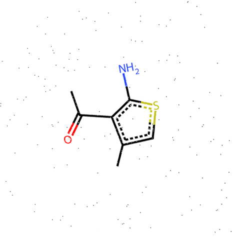 CC(=O)c1c(C)csc1N